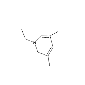 CCN1C=C(C)C=C(C)C1